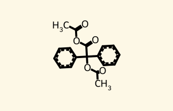 CC(=O)OC(=O)C(OC(C)=O)(c1ccccc1)c1ccccc1